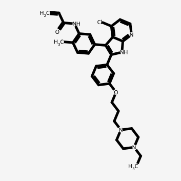 C=CC(=O)Nc1cc(-c2c(-c3cccc(OCCCN4CCN(CC)CC4)c3)[nH]c3nccc(Cl)c23)ccc1C